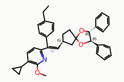 CCc1ccc(/C(=C\[C@H]2CCC3(C2)O[C@H](c2ccccc2)[C@@H](c2ccccc2)O3)c2ccc(C3CC3)c(OC)n2)cc1